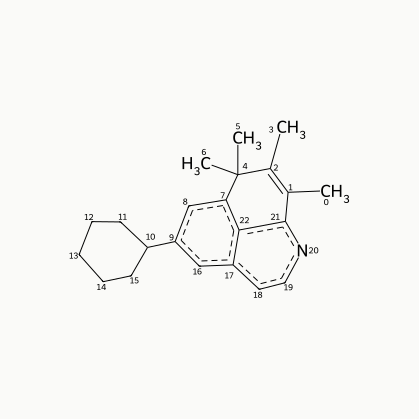 CC1=C(C)C(C)(C)c2cc(C3CCCCC3)cc3ccnc1c23